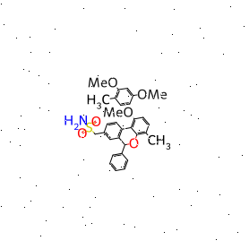 COc1ccc(C)c(OC)c1.COc1ccc(C)c2c1-c1ccc(CS(N)(=O)=O)cc1C(c1ccccc1)O2